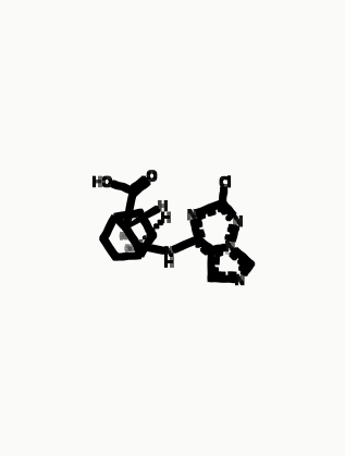 O=C(O)[C@H]1C2CCC(CC2)[C@@H]1Nc1nc(Cl)nn2cncc12